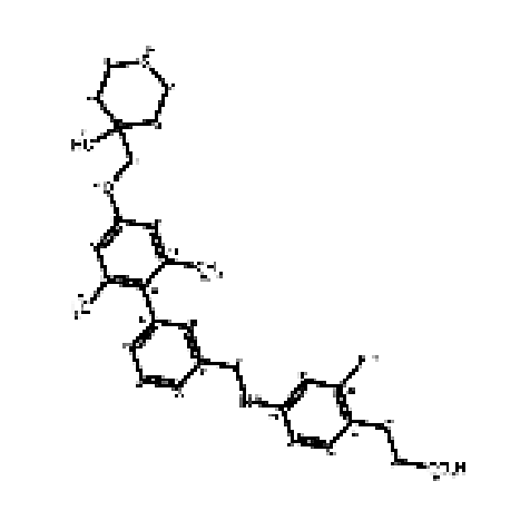 Cc1cc(OCC2(O)CCSCC2)cc(C)c1-c1cccc(CNc2ccc(CCC(=O)O)c(F)c2)c1